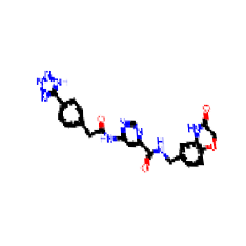 O=C(Cc1ccc(-c2nnn[nH]2)cc1)Nc1cc(C(=O)NCc2ccc3c(c2)NC(=O)CO3)ncn1